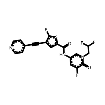 O=C(Nc1cc(F)c(=O)n(CC(F)F)c1)c1cc(C#Cc2ccncc2)c(F)s1